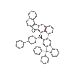 c1ccc(-c2ccc(N(c3cc4c(cc3-c3ccccc3)-c3ccccc3C4(c3ccccc3)c3ccccc3)c3cccc4c3oc3ccc5ccccc5c34)cc2)cc1